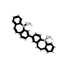 CN1c2ccccc2C=Cc2ccc(-c3ccc4c(c3)CCc3ccccc3N4C)cc21